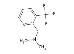 CN(C)Cc1ncccc1C(F)(F)F